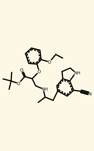 CCOc1ccccc1OC(CNC(C)Cc1cc(C#N)c2c(c1)CCN2)C(=O)OC(C)(C)C